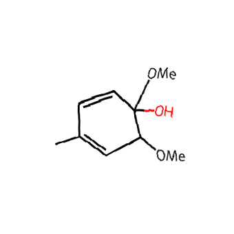 COC1C=C(C)C=CC1(O)OC